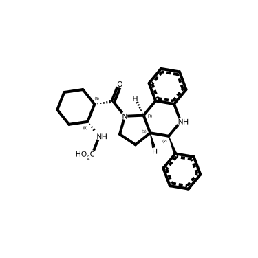 O=C(O)N[C@@H]1CCCC[C@@H]1C(=O)N1CC[C@H]2[C@H](c3ccccc3)Nc3ccccc3[C@@H]21